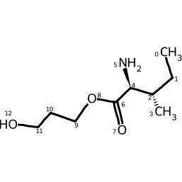 CC[C@H](C)[C@H](N)C(=O)OCCCO